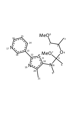 COCC(C)OC(C)(OC)N(C)c1sc(-c2cccnc2)nc1C